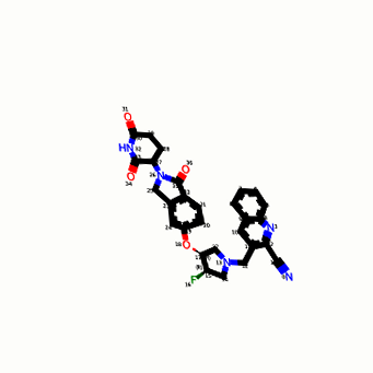 N#Cc1nc2ccccc2cc1CN1C[C@@H](F)[C@H](Oc2ccc3c(c2)CN(C2CCC(=O)NC2=O)C3=O)C1